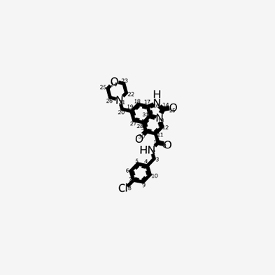 O=C(NCc1ccc(Cl)cc1)c1cn2c(=O)[nH]c3cc(CN4CCOCC4)cc(c1=O)c32